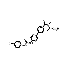 C[C@@H](C(=O)O)N(C)C(=O)c1ccc(-c2ccc(NC(=O)Nc3ccc(Cl)cc3)cc2)cc1